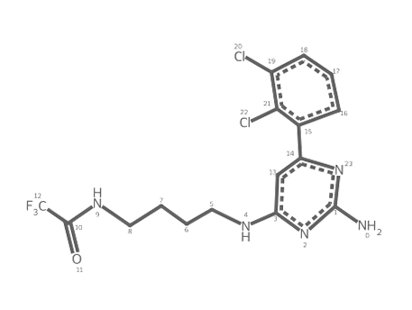 Nc1nc(NCCCCNC(=O)C(F)(F)F)cc(-c2cccc(Cl)c2Cl)n1